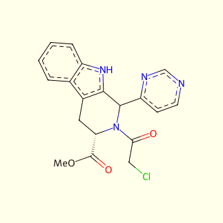 COC(=O)[C@@H]1Cc2c([nH]c3ccccc23)C(c2ccncn2)N1C(=O)CCl